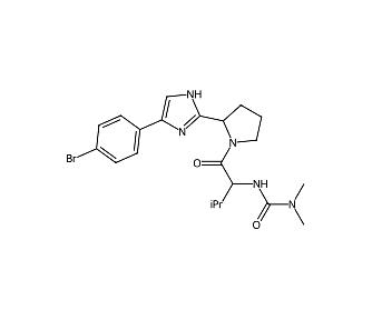 CC(C)C(NC(=O)N(C)C)C(=O)N1CCCC1c1nc(-c2ccc(Br)cc2)c[nH]1